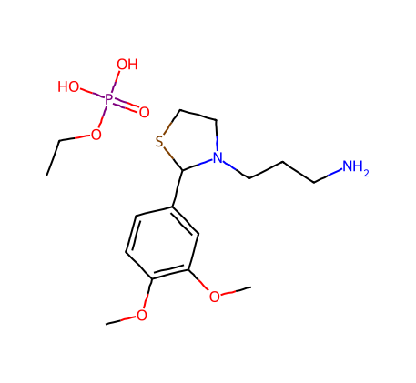 CCOP(=O)(O)O.COc1ccc(C2SCCN2CCCN)cc1OC